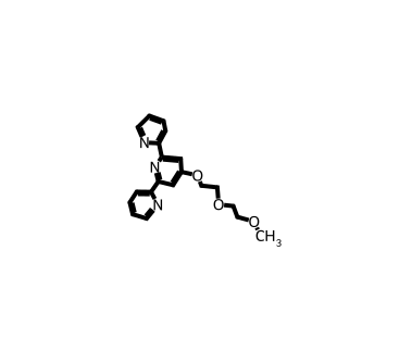 COCCOCCOc1cc(-c2ccccn2)nc(-c2ccccn2)c1